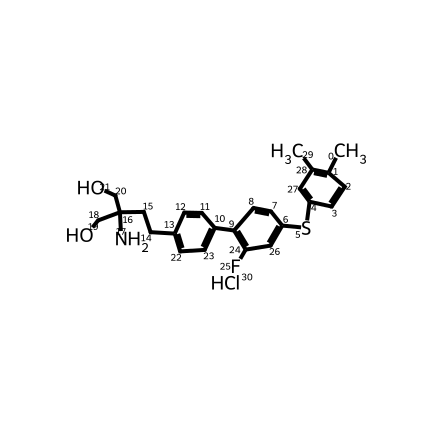 Cc1ccc(Sc2ccc(-c3ccc(CCC(N)(CO)CO)cc3)c(F)c2)cc1C.Cl